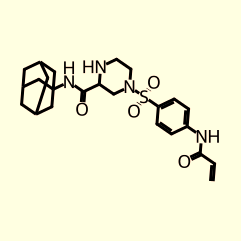 C=CC(=O)Nc1ccc(S(=O)(=O)N2CCNC(C(=O)NC34CC5CC(CC(C5)C3)C4)C2)cc1